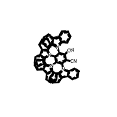 N#Cc1c(C#N)c(-n2c3ccccc3c3ccccc32)c(-n2c3ccccc3c3ccccc32)c(-n2c3c(c4ccccc42)C=CCC3)c1-n1c2ccccc2c2ccccc21